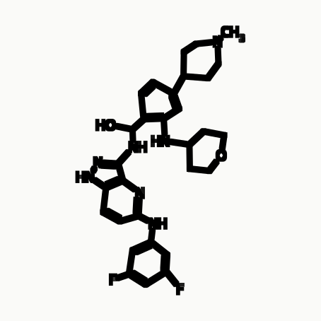 CN1CCC(c2ccc(C(O)Nc3n[nH]c4ccc(Nc5cc(F)cc(F)c5)nc34)c(NC3CCOCC3)c2)CC1